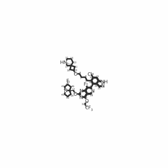 Fc1c(-c2c(CCCCOC3CC4(CCCNC4)C3)c(Cl)cc3[nH]ncc23)ncc2c(OCC(F)(F)F)nc(OC[C@@]34CCCN3C[C@H](F)C4)nc12